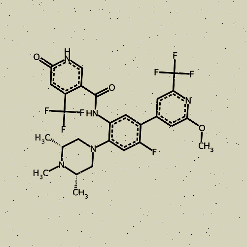 COc1cc(-c2cc(NC(=O)c3c[nH]c(=O)cc3C(F)(F)F)c(N3C[C@@H](C)N(C)[C@@H](C)C3)cc2F)cc(C(F)(F)F)n1